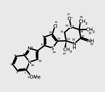 COc1cccc2nc(-c3cc(Cl)c([C@]4(C)C[S+]([O-])C(C)(C)C(=N)N4)s3)cn12